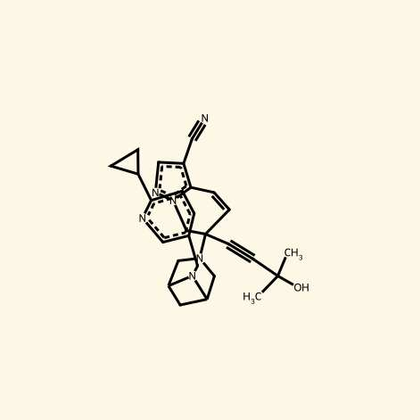 CC(C)(O)C#CC1(N2CC3CC(C2)N3Cc2ccc(C3CC3)nc2)C=Cc2c(C#N)cnn2C1